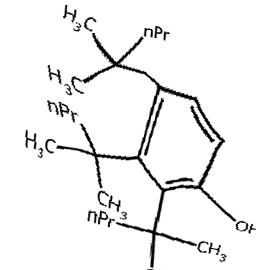 CCCC(C)(C)c1ccc(O)c(C(C)(C)CCC)c1C(C)(C)CCC